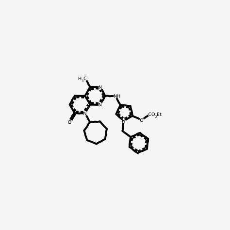 CCOC(=O)Oc1cc(Nc2nc(C)c3ccc(=O)n(C4CCCCCC4)c3n2)cn1Cc1ccccc1